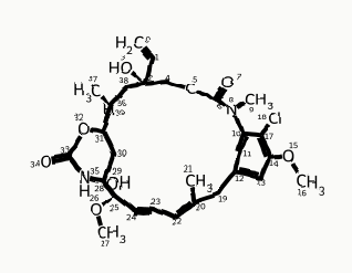 C=C[C@]1(O)CCC(=O)N(C)c2cc(cc(OC)c2Cl)C/C(C)=C/C=C/[C@@H](OC)[C@@]2(O)C[C@H](OC(=O)N2)[C@@H](C)C1